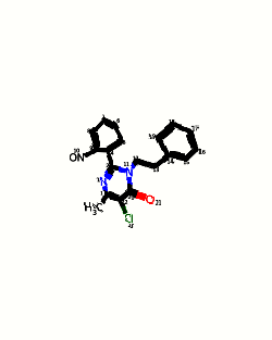 Cc1nc(-c2ccccc2N=O)n(CCc2ccccc2)c(=O)c1Cl